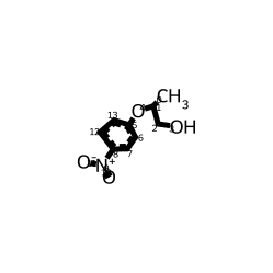 CC(CO)Oc1ccc([N+](=O)[O-])cc1